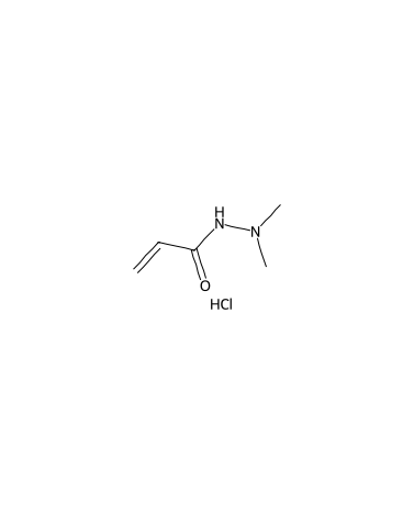 C=CC(=O)NN(C)C.Cl